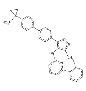 Cc1noc(-c2ccc(-c3ccc(C4(C(=O)O)CC4)cc3)cc2)c1Nc1cccc(-c2ccccc2F)n1